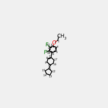 CCOc1ccc(C2=CCC(C3CCCC3)CC2)c(F)c1F